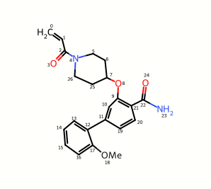 C=CC(=O)N1CCC(Oc2cc(-c3ccccc3OC)ccc2C(N)=O)CC1